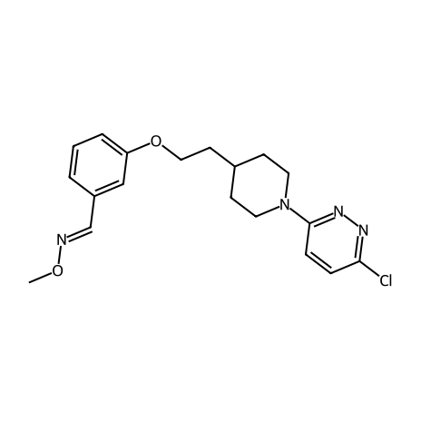 CON=Cc1cccc(OCCC2CCN(c3ccc(Cl)nn3)CC2)c1